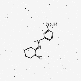 O=C1CCCC/C1=N\Nc1cccc(C(=O)O)c1